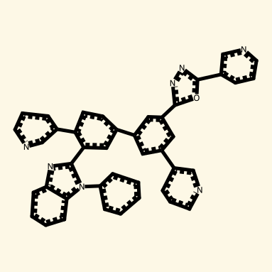 c1ccc(-n2c(-c3cc(-c4cc(-c5cccnc5)cc(-c5nnc(-c6cccnc6)o5)c4)ccc3-c3cccnc3)nc3ccccc32)cc1